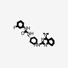 CN(C)c1nc(N[C@H]2CC[C@@H](CNC(=O)Nc3cccc(F)c3)CC2)nc2ccccc12